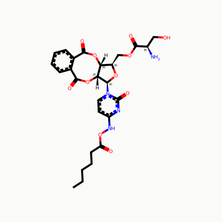 CCCCCC(=O)ONc1ccn([C@@H]2O[C@H](COC(=O)[C@H](N)CO)[C@H]3OC(=O)c4ccccc4C(=O)O[C@H]32)c(=O)n1